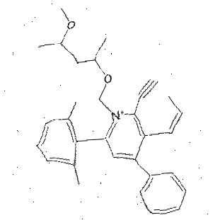 C#Cc1c(/C=C\C)c(-c2ccccc2)cc(-c2c(C)cccc2C)[n+]1COC(C)CC(C)OC